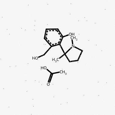 CC(=O)O.CN1CCCC1(C)c1c(O)cccc1CO